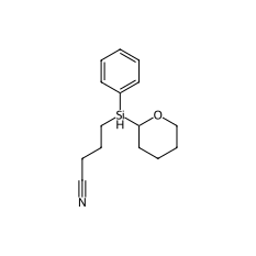 N#CCCC[SiH](c1ccccc1)C1CCCCO1